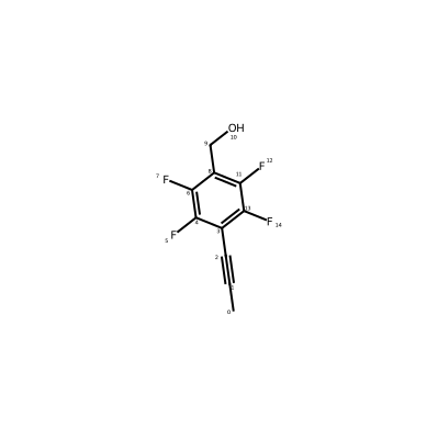 CC#Cc1c(F)c(F)c(CO)c(F)c1F